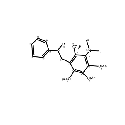 CCC(Cc1c(OC)c(OC)c(OC)c(N(C)C)c1C(=O)O)c1ccccc1